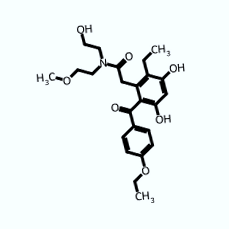 CCOc1ccc(C(=O)c2c(O)cc(O)c(CC)c2CC(=O)N(CCO)CCOC)cc1